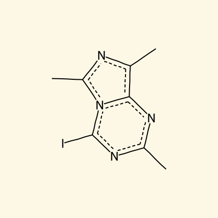 Cc1nc(I)n2c(C)nc(C)c2n1